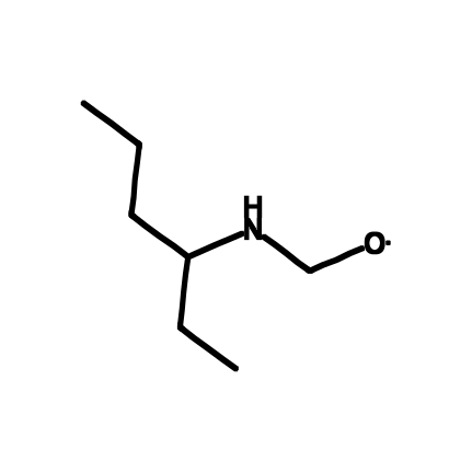 CCCC(CC)NC[O]